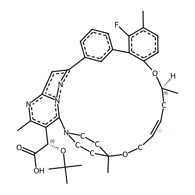 Cc1ccc2c(c1F)-c1cccc(c1)-c1cc3nc(C)c([C@H](OC(C)(C)C)C(=O)O)c(n3n1)N1CCC(C)(CC1)OC/C=C\C[C@H](C)O2